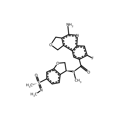 CN=[S@@](C)(=O)c1ccc2c(c1)OC[C@H]2N(C)C(=O)c1cc2c3c(c(N)nc2cc1F)COC3